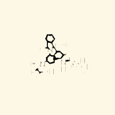 CN(C(=O)O)c1nc2cc(C3(O)c4ccccc4C(=O)N3c3cccc(N)c3)ccc2[nH]1.O=C(O)C(F)(F)F